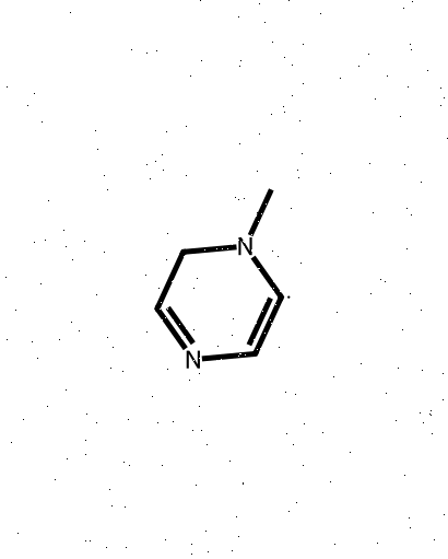 CN1[C]=CN=CC1